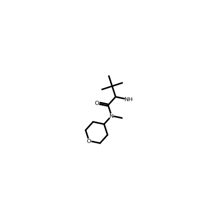 CN(C(=O)C([NH])C(C)(C)C)C1CCOCC1